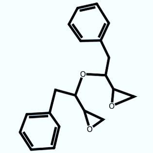 c1ccc(CC(OC(Cc2ccccc2)C2CO2)C2CO2)cc1